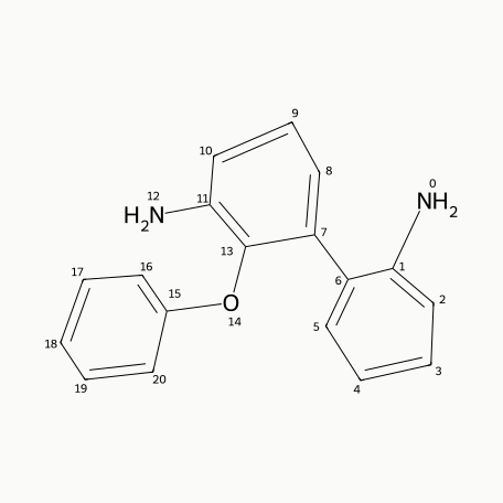 Nc1ccccc1-c1cccc(N)c1Oc1ccccc1